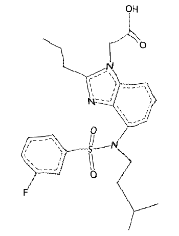 CCCc1nc2c(N(CCC(C)C)S(=O)(=O)c3cccc(F)c3)cccc2n1CC(=O)O